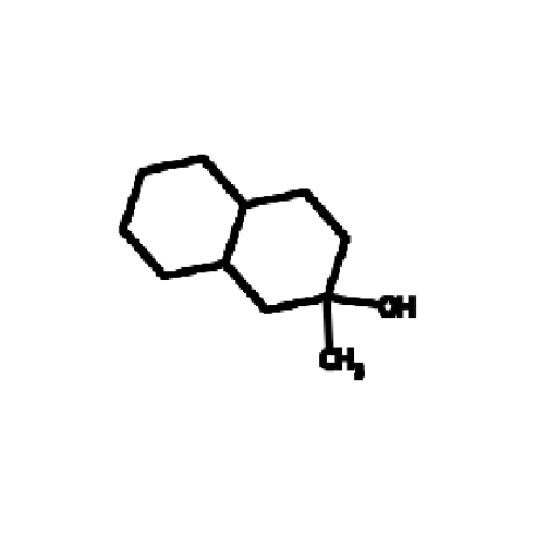 CC1(O)CCC2CCCCC2C1